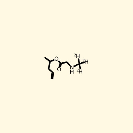 [2H]C([2H])([2H])NCC(=O)OC(C)CC=C